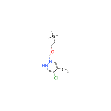 C[Si](C)(C)CCOCN1C=C(C(F)(F)F)C(Cl)=CN1